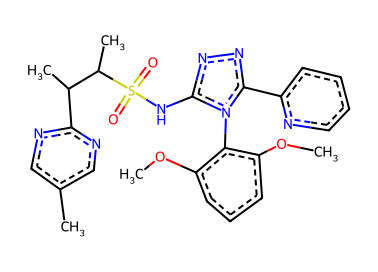 COc1cccc(OC)c1-n1c(NS(=O)(=O)C(C)C(C)c2ncc(C)cn2)nnc1-c1ccccn1